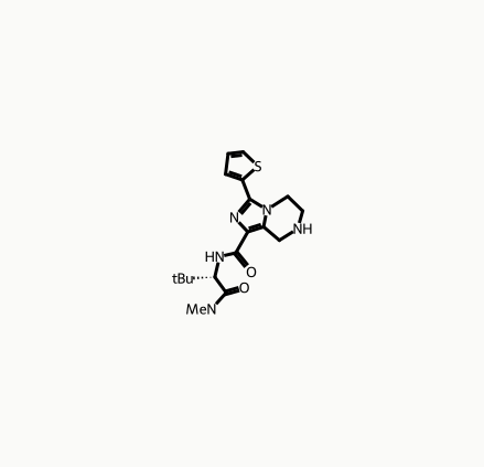 CNC(=O)[C@@H](NC(=O)c1nc(-c2cccs2)n2c1CNCC2)C(C)(C)C